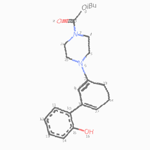 CC(C)COC(=O)N1CCN(C2=CC(c3ccccc3O)=CCC2)CC1